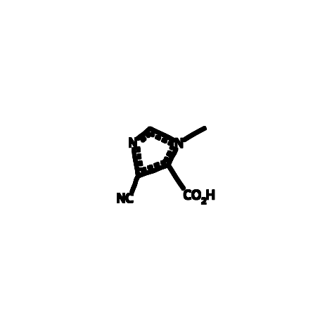 Cn1cnc(C#N)c1C(=O)O